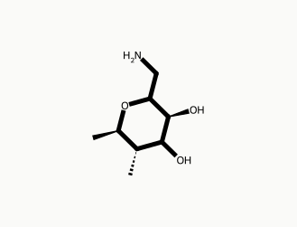 C[C@H]1OC(CN)[C@@H](O)C(O)[C@@H]1C